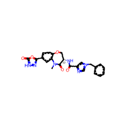 CN1C(=O)[C@@H](NC(=O)c2cn(Cc3ccccc3)cn2)COc2ccc(-c3n[nH]c(=O)o3)cc21